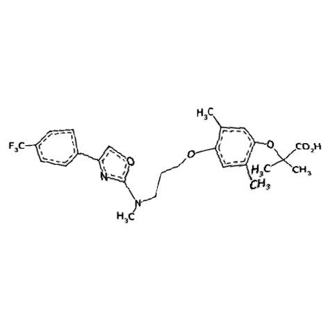 Cc1cc(OC(C)(C)C(=O)O)c(C)cc1OCCCN(C)c1nc(-c2ccc(C(F)(F)F)cc2)co1